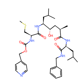 CSC[C@H](NC(=O)OCc1ccncc1)C(=O)N[C@@H](CC(C)C)[C@@H](O)C[C@@H](C)C(=O)N[C@@H](CC(C)C)C(=O)NCc1ccccc1